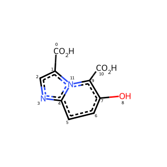 O=C(O)c1cnc2ccc(O)c(C(=O)O)n12